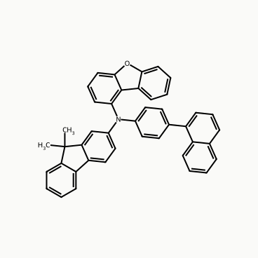 CC1(C)c2ccccc2-c2ccc(N(c3ccc(-c4cccc5ccccc45)cc3)c3cccc4oc5ccccc5c34)cc21